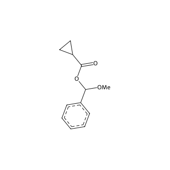 COC(OC(=O)C1CC1)c1ccccc1